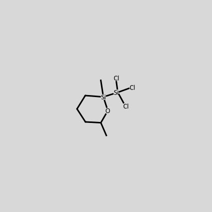 CC1CCC[Si](C)([Si](Cl)(Cl)Cl)O1